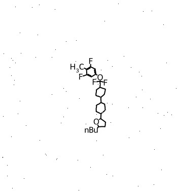 CCCCC1CCC(C2CCC(C3CCC(C(F)(F)Oc4cc(F)c(C)c(F)c4)CC3)CC2)O1